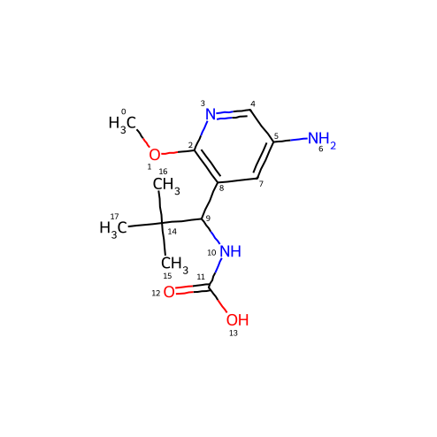 COc1ncc(N)cc1C(NC(=O)O)C(C)(C)C